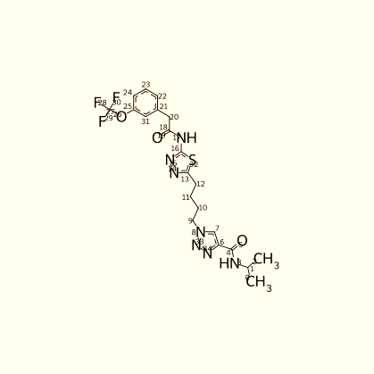 CC(C)NC(=O)c1cn(CCCCc2nnc(NC(=O)Cc3cccc(OC(F)(F)F)c3)s2)nn1